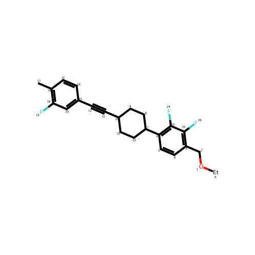 CCOCc1ccc(C2CCC(C#Cc3ccc(C)c(F)c3)CC2)c(F)c1F